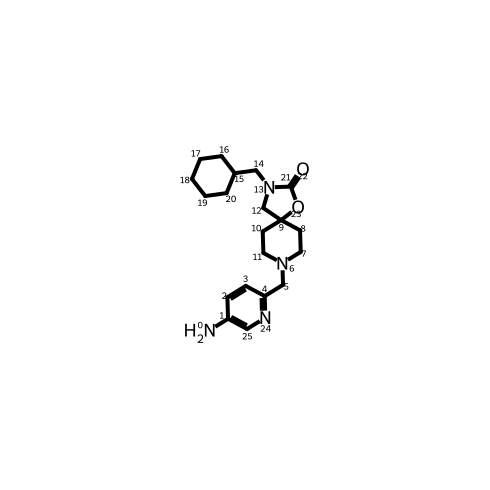 Nc1ccc(CN2CCC3(CC2)CN(CC2CCCCC2)C(=O)O3)nc1